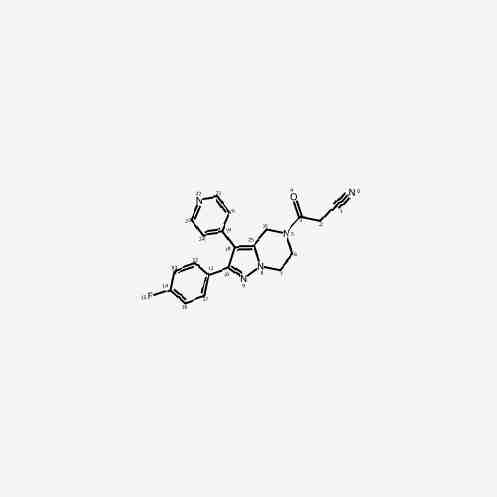 N#CCC(=O)N1CCn2nc(-c3ccc(F)cc3)c(-c3ccncc3)c2C1